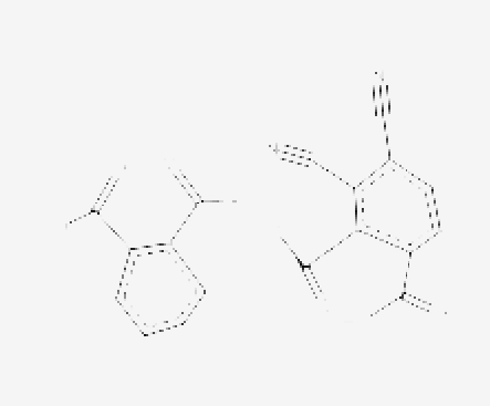 N#Cc1ccc(C(=O)O)c(C(=O)O)c1C#N.O=C(O)c1ccccc1C(=O)O